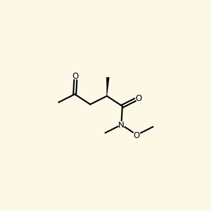 CON(C)C(=O)[C@H](C)CC(C)=O